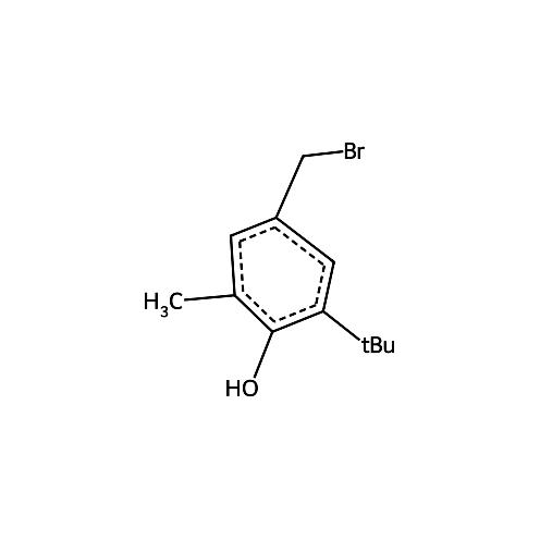 Cc1cc(CBr)cc(C(C)(C)C)c1O